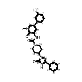 Cn1cc(-c2cccc(O)c2)cc(NC(=O)N2CCC(n3nc(-c4ccccc4)[nH]c3=O)CC2)c1=O